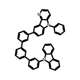 c1ccc(-n2c3ccc(-c4cccc(-c5cccc(-c6cccc(-n7c8ccccc8c8ccccc87)c6)c5)c4)cc3c3ncccc32)cc1